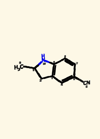 CC1Cc2cc(C#N)ccc2N1